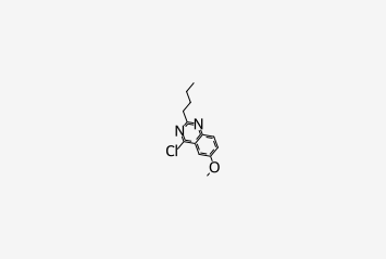 CCCCc1nc(Cl)c2cc(OC)ccc2n1